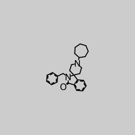 O=C1c2ccccc2C2(CCN(C3CCCCCC3)CC2)N1Cc1ccccc1